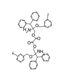 NC(COC(=O)C(=O)OCC(N)(OCc1cccc(I)c1)C(c1ccccc1)c1ccccc1)(OCc1cccc(I)c1)C(c1ccccc1)c1ccccc1